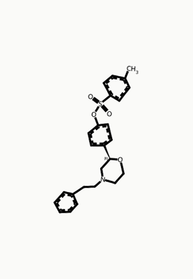 Cc1ccc(S(=O)(=O)Oc2ccc([C@@H]3CN(CCc4ccccc4)CCO3)cc2)cc1